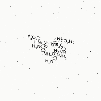 CC1(C(=O)N(CCCN2CC(Nc3cccc(C(F)(F)F)c3)=C([C@H](N)c3ccc(N)cc3)C2=O)CCCN2CC(Nc3cccc(C(F)(F)F)c3)=C([C@H](N)c3ccc(N)cc3)C2=O)CC[N+](C)(CC(=O)O)CC1